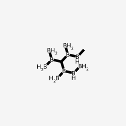 BBB(B)C(B(B)B)B(B)BC